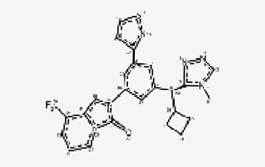 Cn1cnnc1[C@H](c1cc(-c2ccsn2)cc(-n2cc3c(C(F)(F)F)cccn3c2=O)c1)C1CCC1